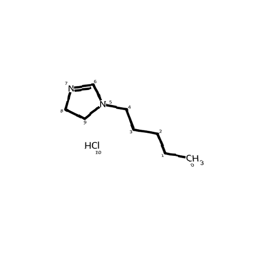 CCCCCN1C=NCC1.Cl